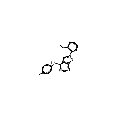 CCc1ccccc1-n1cc2c(Nc3ccc(C)cc3)ncnc2n1